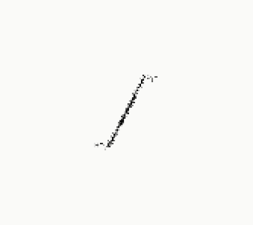 O=S(=O)(O)CCCCCCCCCCCCOCCOCCOCCOCCOCCCCCCCCCCCCS(=O)(=O)O